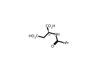 CCCC(=O)N[C@@H](CC(=O)O)C(=O)O